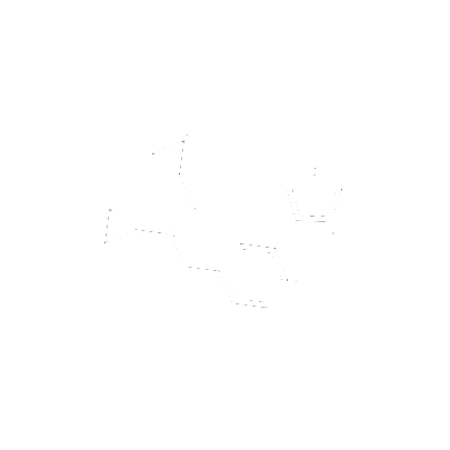 c1cc(CN(NC2CC2)C2CC2)cc(-c2cccs2)c1